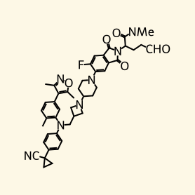 CNC(=O)C(CCC=O)N1C(=O)c2cc(F)c(N3CCC(N4CC(CN(c5ccc(C6(C#N)CC6)cc5)c5cc(-c6c(C)noc6C)ccc5C)C4)CC3)cc2C1=O